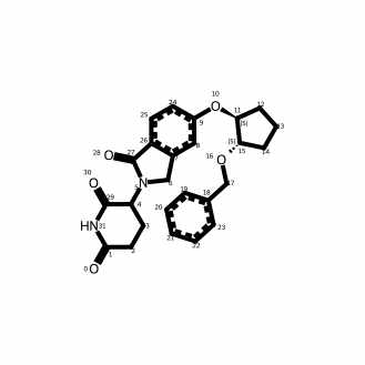 O=C1CCC(N2Cc3cc(O[C@H]4CCC[C@@H]4OCc4ccccc4)ccc3C2=O)C(=O)N1